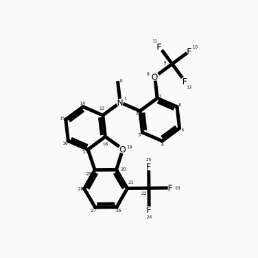 CN(c1ccccc1OC(F)(F)F)c1cccc2c1oc1c(C(F)(F)F)cccc12